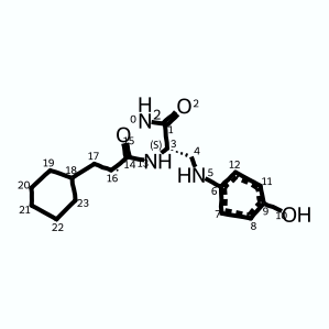 NC(=O)[C@H](CNc1ccc(O)cc1)NC(=O)[CH]CC1CCCCC1